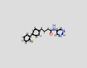 O=C(CCCc1ccc(-c2ccccc2F)cc1)Nc1cncnc1